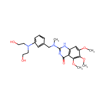 COc1cc2[nH]c(N(C)Cc3cccc(N(CCO)CCO)c3)nc(=O)c2c(OC)c1OC